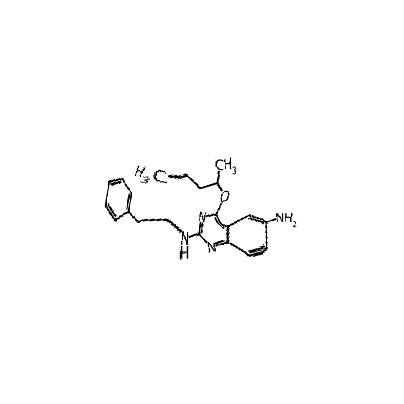 CCCC(C)Oc1nc(NCCc2ccccc2)nc2ccc(N)cc12